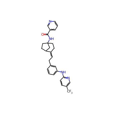 O=C(NC12CCC(=CCc3cccc(Nc4ccc(C(F)(F)F)cn4)c3)C(CC1)C2)c1cccnc1